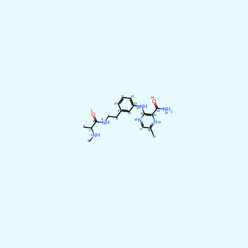 CNC(C)C(=O)NCCc1cccc(Nc2ncc(C)nc2C(N)=O)c1